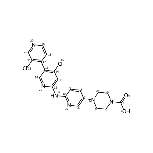 O=C(O)N1CCN(c2ccc(Nc3cc(Cl)c(-c4ccncc4Cl)cn3)nc2)CC1